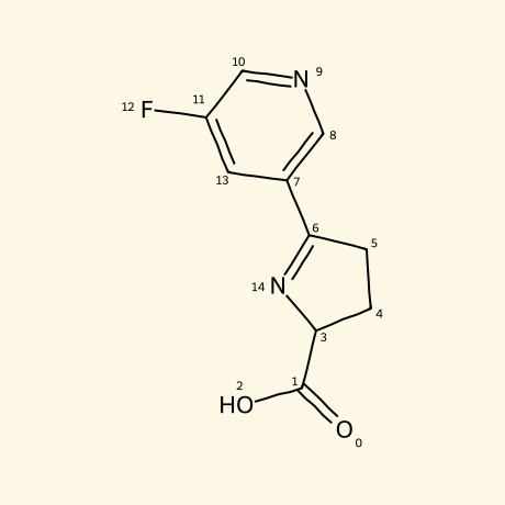 O=C(O)C1CCC(c2cncc(F)c2)=N1